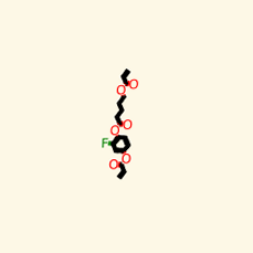 C=CC(=O)OCCCCC(=O)Oc1ccc(OC(=O)C=C)cc1F